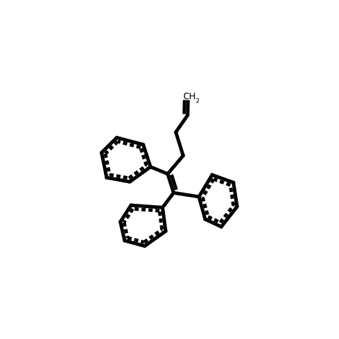 C=CCCC(=C(c1ccccc1)c1ccccc1)c1ccccc1